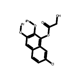 CC(C)Oc1cc2ccc(Cl)cc2c(OC(=O)CO)c1OC(C)C